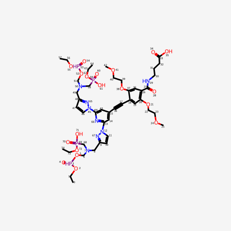 CCO[PH](=O)OCN(Cc1ccn(-c2cc(C#Cc3cc(OCCOC)c(C(=O)NCCCC(=O)O)cc3OCCOC)cc(-n3ccc(CN(CO[PH](=O)OCC)CP(=O)(O)OCC)n3)n2)n1)CP(=O)(O)OCC